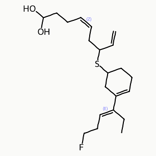 C=CC(C/C=C\CCC(O)O)SC1CCC=C(/C(=C/CCF)CC)C1